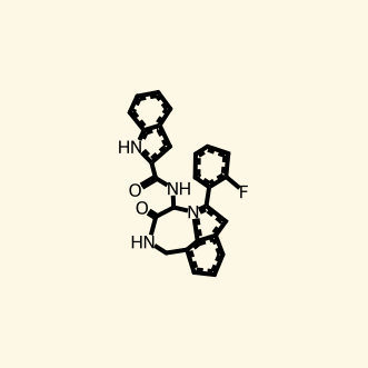 O=C(NC1C(=O)NCc2cccc3cc(-c4ccccc4F)n1c23)c1cc2ccccc2[nH]1